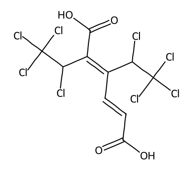 O=C(O)C=CC(=C(C(=O)O)C(Cl)C(Cl)(Cl)Cl)C(Cl)C(Cl)(Cl)Cl